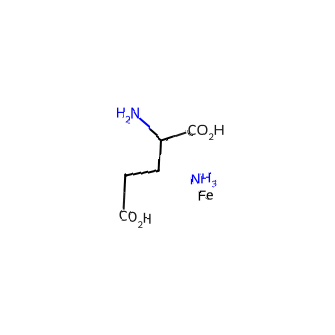 N.NC(CCC(=O)O)C(=O)O.[Fe]